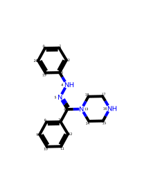 c1ccc(NN=C(c2ccccc2)N2CCNCC2)cc1